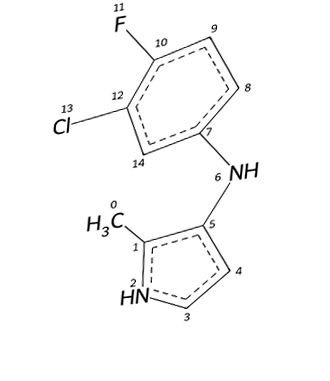 Cc1[nH]ccc1Nc1ccc(F)c(Cl)c1